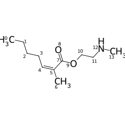 CCCCC=C(C)C(=O)OCCNC